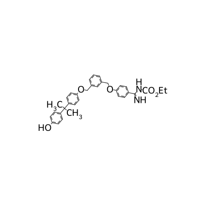 CCOC(=O)NC(=N)c1ccc(OCc2cccc(COc3ccc(C(C)(C)c4ccc(O)cc4)cc3)c2)cc1